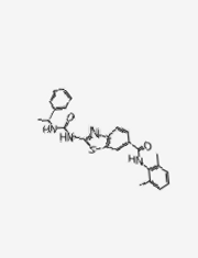 Cc1cccc(C)c1NC(=O)c1ccc2nc(NC(=O)NC(C)c3ccccc3)sc2c1